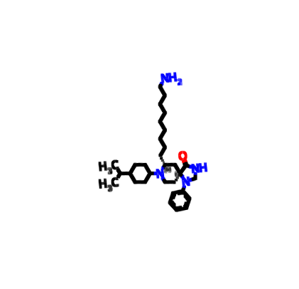 CC(C)C1CCC(N2CC[C@]3(C[C@H]2CCCCCCCCCN)C(=O)NCN3c2ccccc2)CC1